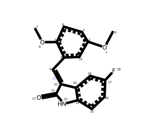 COc1ccc(OC)c(/C=C2/C(=O)Nc3ccc(F)cc32)c1